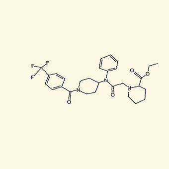 CCOC(=O)C1CCCCN1CC(=O)N(c1ccccc1)C1CCN(C(=O)c2ccc(C(F)(F)F)cc2)CC1